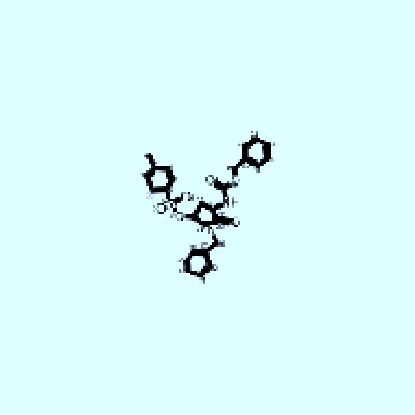 Cc1ccc(S(=O)(=O)OC2CC3(NC(=O)OCc4ccccc4)CC2N(Cc2ccccc2)C3=O)cc1